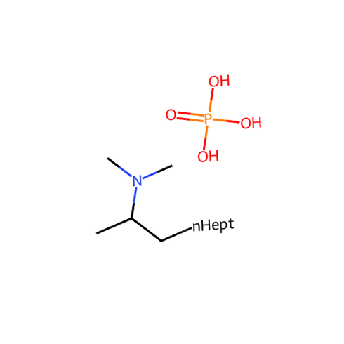 CCCCCCCCC(C)N(C)C.O=P(O)(O)O